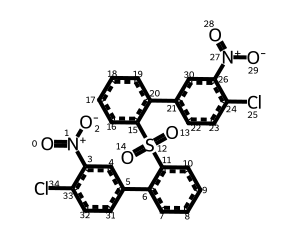 O=[N+]([O-])c1cc(-c2ccccc2S(=O)(=O)c2ccccc2-c2ccc(Cl)c([N+](=O)[O-])c2)ccc1Cl